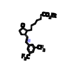 CCOC(=O)CCCCCCC1C(=O)CCC1/C=C/c1cc(C(F)(F)F)cc(C(F)(F)F)c1